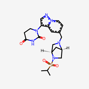 CC(C)S(=O)(=O)N1C[C@H]2C[C@@H]1CN2Cc1ccn2ncc(N3CCC(=O)NC3=O)c2c1